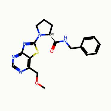 COCc1ncnc2nc(N3CCC[C@@H]3C(=O)NCc3ccccc3)sc12